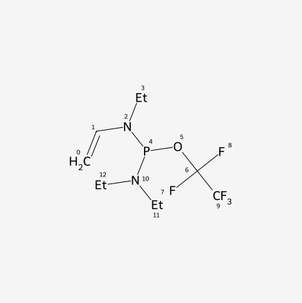 C=CN(CC)P(OC(F)(F)C(F)(F)F)N(CC)CC